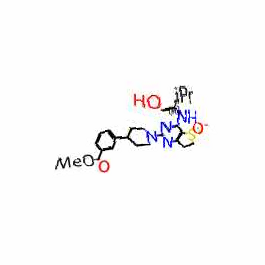 COC(=O)c1cccc(C2CCN(c3nc4c(c(N[C@@H](CO)C(C)C)n3)[S+]([O-])CC4)CC2)c1